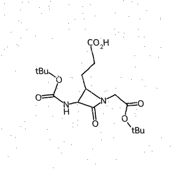 CC(C)(C)OC(=O)CN1C(=O)C(NC(=O)OC(C)(C)C)C1CCC(=O)O